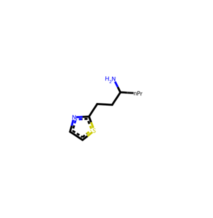 CCCC(N)CCc1nccs1